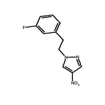 O=[N+]([O-])c1cnn(CCc2cccc(F)c2)c1